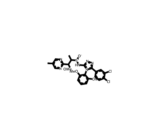 COc1cccc(OC)c1-n1c(N[S+]([O-])C(C)C(OC)c2ncc(C)cn2)nnc1-c1ccc(Cl)c(Cl)c1